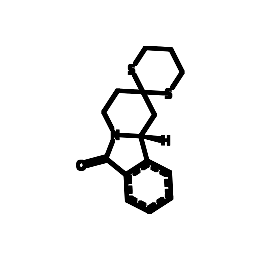 O=C1c2ccccc2[C@H]2CC3(CCN12)SCCCS3